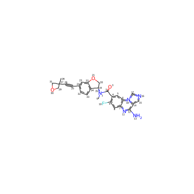 CN(C(=O)c1cc2c(cc1F)nc(N)c1cncn12)[C@@H]1COc2cc(C#CC3(C)COC3)ccc21